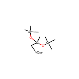 [CH2]CCCCCCCC[Si](C)(O[Si](C)(C)C)O[Si](C)(C)C